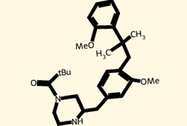 COc1cc(CC2CN(C(=O)C(C)(C)C)CCN2)ccc1CC(C)(C)c1ccccc1OC